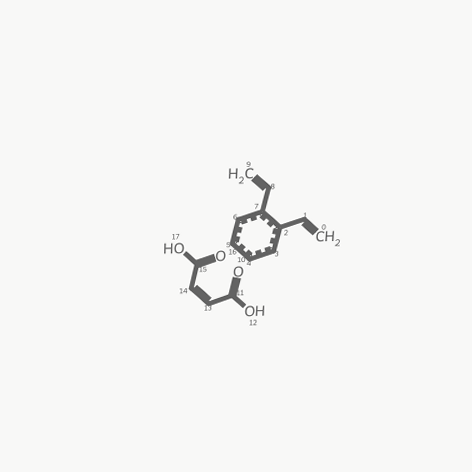 C=Cc1ccccc1C=C.O=C(O)/C=C\C(=O)O